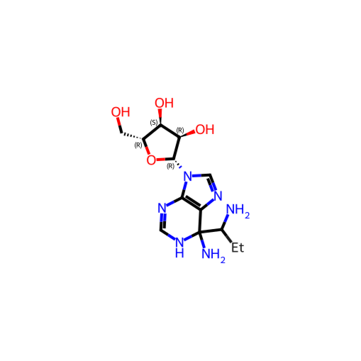 CCC(N)C1(N)NC=Nc2c1ncn2[C@@H]1O[C@H](CO)[C@@H](O)[C@H]1O